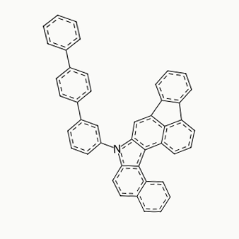 c1ccc(-c2ccc(-c3cccc(-n4c5ccc6ccccc6c5c5c6cccc7c6c(cc54)-c4ccccc4-7)c3)cc2)cc1